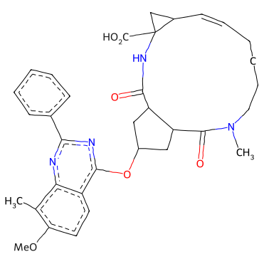 COc1ccc2c(OC3CC4C(=O)NC5(C(=O)O)CC5C=CCCCCN(C)C(=O)C4C3)nc(-c3ccccc3)nc2c1C